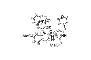 COC[C@H](NC(=O)CN1CCOCC1)C(=O)N[C@@H](Cc1ccc(OC)cc1)C(=O)N[C@@H](Cc1ccccc1)C(=O)[C@@]1(C)CO1